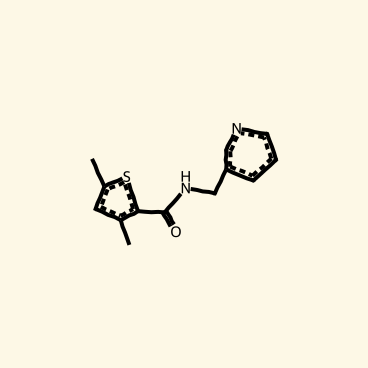 Cc1cc(C)c(C(=O)NCc2cccnc2)s1